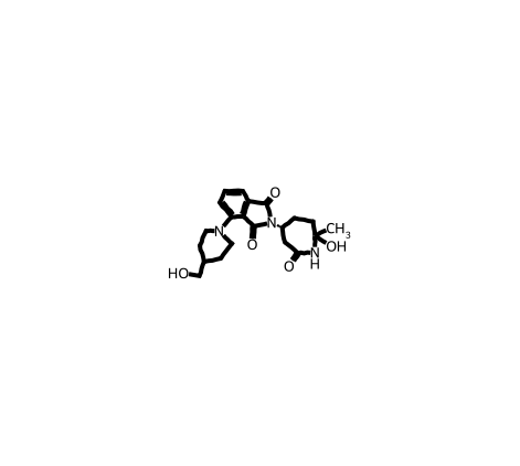 CC1(O)CC[C@@H](N2C(=O)c3cccc(N4CCC(CO)CC4)c3C2=O)CC(=O)N1